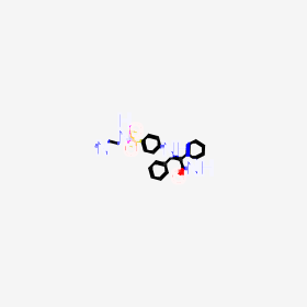 CN(C)CCNS(=O)(=O)c1ccc(NC(=C2C(=O)Nc3ccccc32)c2ccccc2)cc1